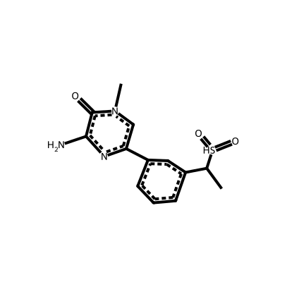 CC(c1cccc(-c2cn(C)c(=O)c(N)n2)c1)[SH](=O)=O